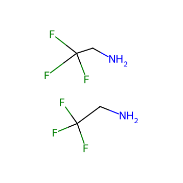 NCC(F)(F)F.NCC(F)(F)F